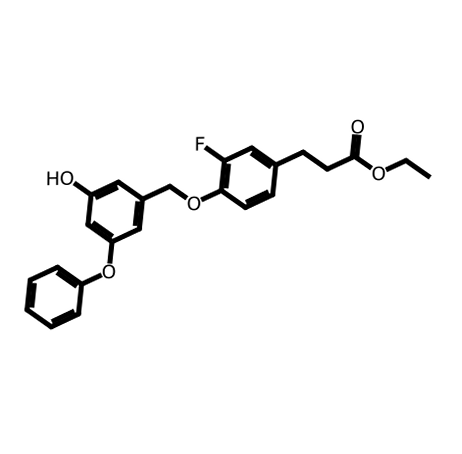 CCOC(=O)CCc1ccc(OCc2cc(O)cc(Oc3ccccc3)c2)c(F)c1